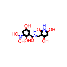 O=C(NCc1c(O)cc(O)[nH]c1=O)c1cc(O)cc(N(O)O)c1O